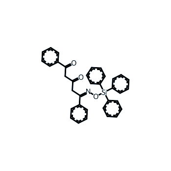 O=C(CC(=O)c1ccccc1)CC(=NO[Si](c1ccccc1)(c1ccccc1)c1ccccc1)c1ccccc1